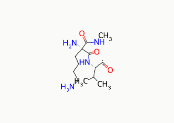 CNC(=O)[C@](N)(CCCCN)C(=O)N[C@H]([C]=O)C(C)C